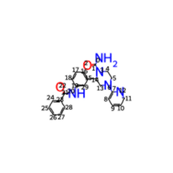 NC(=O)N1CCN(c2ccccn2)CC1c1cccc(NC(=O)c2ccccc2)c1